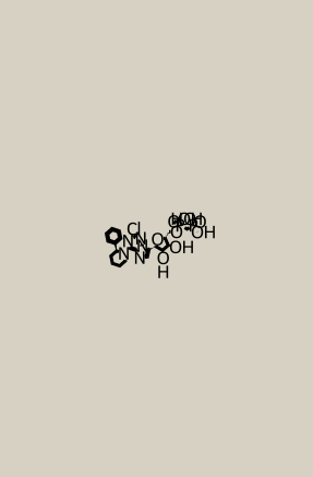 O=P(O)(O)CP(=O)(O)OC[C@H]1O[C@@H](c2cnc3c(N4CCCC[C@H]4c4ccccc4)nc(Cl)nn23)[C@H](O)[C@@H]1O